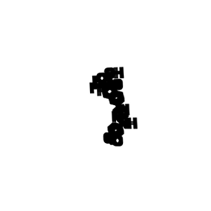 O=C(O)CC1(CC(F)(F)F)CCc2cc(-c3cnc(Nc4ccc5c(c4)OCO5)cn3)ccc2C1=O